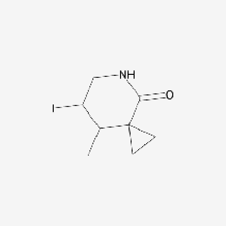 CC1C(I)CNC(=O)C12CC2